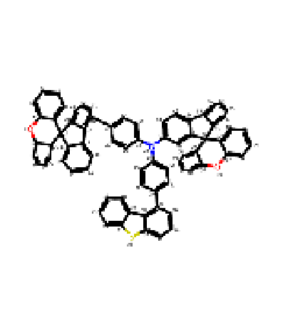 C1=CC2Oc3ccccc3C3(c4ccccc4-c4c(-c5ccc(N(c6ccc(-c7cccc8sc9ccccc9c78)cc6)c6ccc7c(c6)C6(c8ccccc8Oc8ccccc86)c6ccccc6-7)cc5)cccc43)C2C=C1